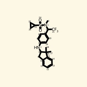 CN(C(c1ccc(NC2Cc3ccccc3C2(C)C)cc1)C(F)(F)F)S(=O)(=O)C1CC1